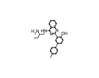 CC[C@@H](N)CNc1nc(-c2cc(-c3ccc(C)cc3)ccc2O)nc2ccccc12